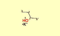 [CH2]CCC.[K+].[OH-]